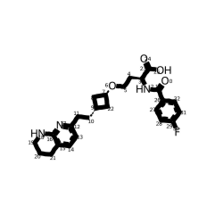 O=C(N[C@@H](CCO[C@H]1C[C@@H](CCc2ccc3c(n2)NCCC3)C1)C(=O)O)c1ccc(F)cc1